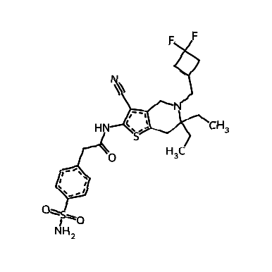 CCC1(CC)Cc2sc(NC(=O)Cc3ccc(S(N)(=O)=O)cc3)c(C#N)c2CN1CC1CC(F)(F)C1